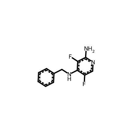 Nc1ncc(F)c(NCc2ccccc2)c1F